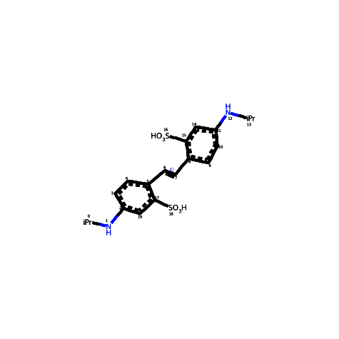 CC(C)Nc1ccc(/C=C/c2ccc(NC(C)C)cc2S(=O)(=O)O)c(S(=O)(=O)O)c1